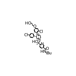 CCC(C)NC(=O)c1ccc([C@](C)(O)CN2CCN(c3ccc(OCCO)cc3Cl)[C@H](c3ccc(Cl)cc3)C2)nc1